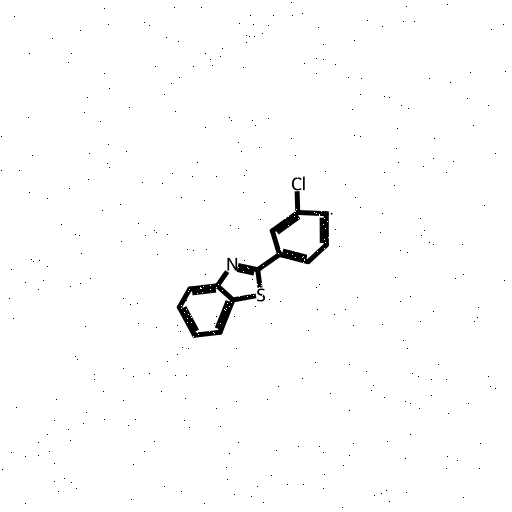 Clc1[c]ccc(-c2nc3ccccc3s2)c1